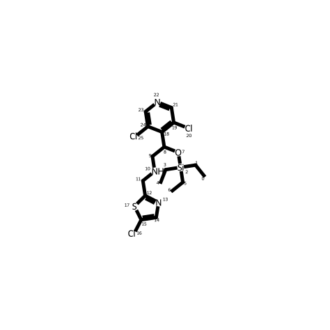 CC[Si](CC)(CC)OC(CNCc1ncc(Cl)s1)c1c(Cl)cncc1Cl